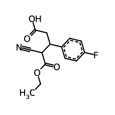 CCOC(=O)C(C#N)C(CC(=O)O)c1ccc(F)cc1